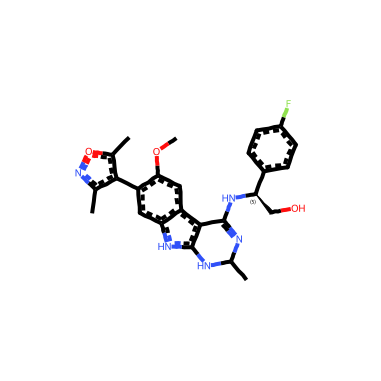 COc1cc2c3c([nH]c2cc1-c1c(C)noc1C)NC(C)N=C3N[C@H](CO)c1ccc(F)cc1